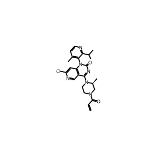 C=CC(=O)N1CCN(c2nc(=O)n(-c3c(C)ccnc3C(C)C)c3cc(Cl)ncc23)[C@@H](C)C1